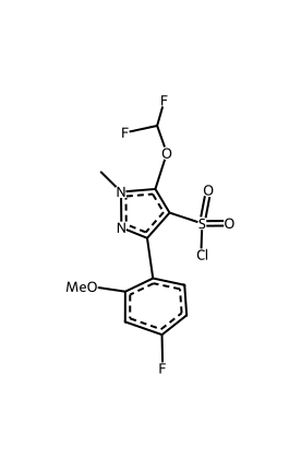 COc1cc(F)ccc1-c1nn(C)c(OC(F)F)c1S(=O)(=O)Cl